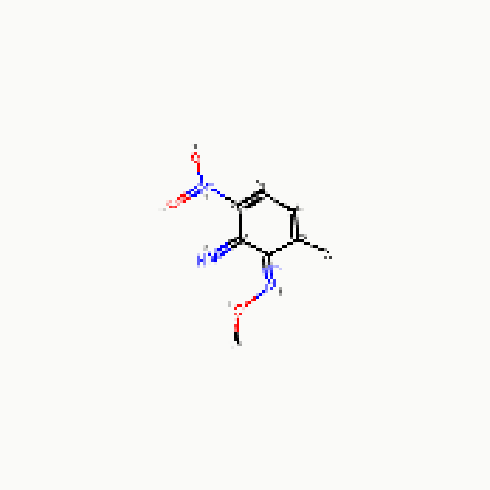 CO/N=C1\C(=N)C([N+](=O)[O-])=CC=C1C